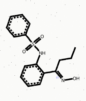 CCC/C(=N\O)c1ccccc1NS(=O)(=O)c1cc[c]cc1